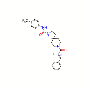 O=C(Nc1ccc(C(F)(F)F)cc1)N1CCC2(CCN(C(=O)/C(F)=C/c3ccccc3)CC2)C1